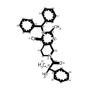 Cc1nc2c(c(=O)n1C(c1ccccc1)c1ccccc1)CCN(C(=O)[C@](C)(O)c1ccccc1)C2